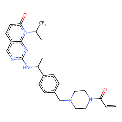 C=CC(=O)N1CCN(Cc2ccc(C(C)Nc3ncc4ccc(=O)n(C(C)C(F)(F)F)c4n3)cc2)CC1